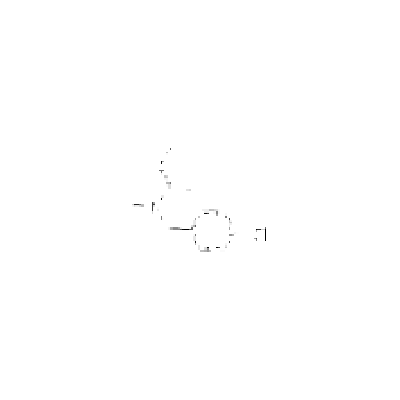 C/C=C(\C)N(C)Cc1ccc(Cl)cc1